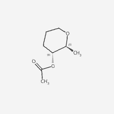 CC(=O)O[C@@H]1CCCO[C@H]1C